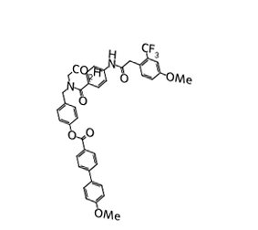 COc1ccc(-c2ccc(C(=O)Oc3ccc(CN(CC(=O)O)C(=O)c4ccc(NC(=O)Cc5ccc(OC)cc5C(F)(F)F)cc4)cc3)cc2)cc1